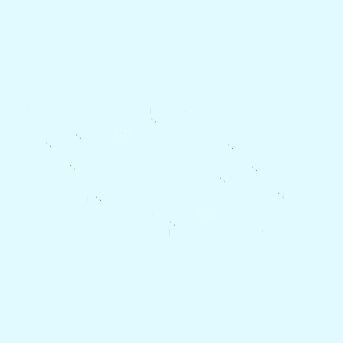 O=C1CC(C2CC(=O)Nc3ccc(Nc4nc(NC5CC5)ncc4C(F)(F)F)cc32)c2cc(Nc3ncc(C(F)(F)F)c(NC4CC4)n3)ccc2N1